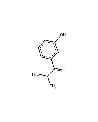 CC(C)C(=O)c1cccc(O)n1